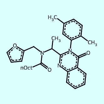 CCCCCCCCC(=O)N(Cc1ccco1)C(C)c1nc2ccccc2c(=O)n1-c1cc(C)ccc1C